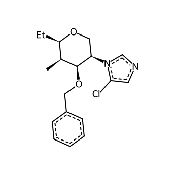 CC[C@H]1OC[C@@H](n2cncc2Cl)[C@@H](OCc2ccccc2)[C@H]1C